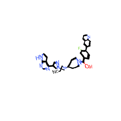 N#CCC1(n2cc(-c3ncnc4[nH]ccc34)cn2)CN(C2CCN(C(O)c3ccc(-c4ccc5ncccc5c4)c(F)c3)CC2)C1